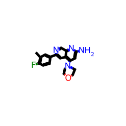 Cc1cc(-c2cc3c(N4CCOCC4)cc(N)nc3cn2)ccc1F